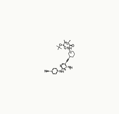 CNc1nc(Nc2ccc(C#N)cc2)ncc1C#CC1CCC[C@H](NC(=O)[C@H](C)N(C)C(=O)OC(C)(C)C)C1